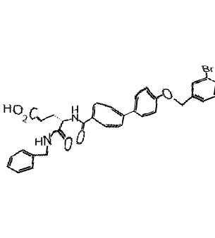 O=C(O)CC[C@H](NC(=O)c1ccc(-c2ccc(OCc3cccc(Br)c3)cc2)cc1)C(=O)NCc1ccccc1